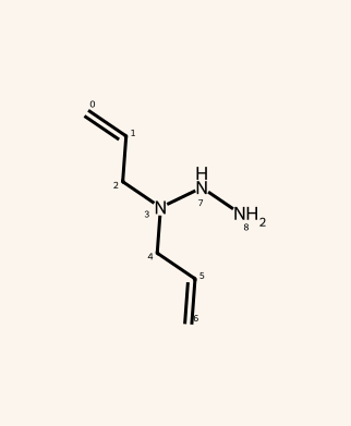 C=CCN(CC=C)NN